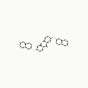 Nc1ccc2cc(Nc3ccc4c(=O)c5cc(Nc6ccc7cc(N)ccc7c6)ccc5sc4c3)ccc2c1